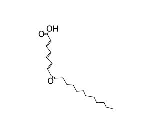 CCCCCCCCCCCC1=C(C=CC=CC=CC(=O)O)O1